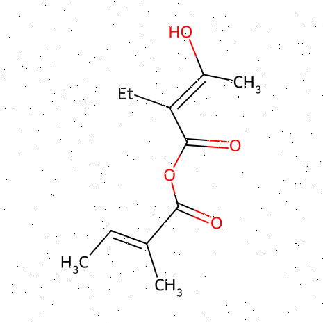 CC=C(C)C(=O)OC(=O)C(CC)=C(C)O